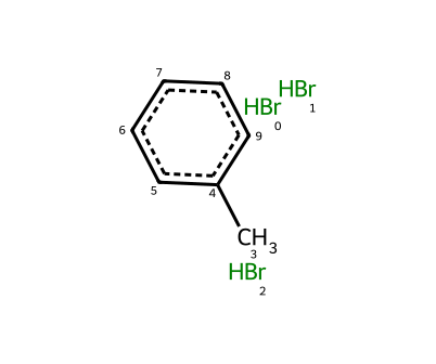 Br.Br.Br.Cc1ccccc1